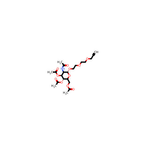 C#CCOCCOCCO[C@@H]1OC(COC(C)=O)[C@H](OC(C)=O)C(OC(C)=O)C1NC(C)=O